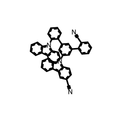 N#Cc1ccc2c(c1)c1ccccc1n2-c1cc(-c2ccccc2C#N)cc(-c2ccccc2-n2c3ccccc3c3ccccc32)c1